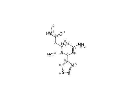 CNC(=O)CCSC(N=C(N)N)c1cscn1.Cl